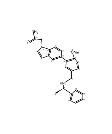 COc1ccc(CN[C@H](C)c2ccccc2)cc1-c1ccc2c(ccn2CC(N)=O)c1